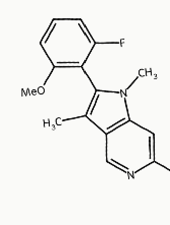 COc1cccc(F)c1-c1c(C)c2cnc(Cl)cc2n1C